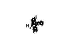 CC(Oc1ccc(Cl)cn1)C1CN(Cc2ccccc2)CC1c1ccc(Cl)c(F)c1